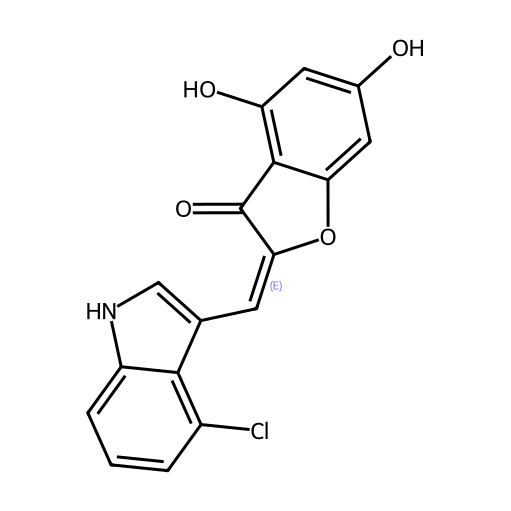 O=C1/C(=C\c2c[nH]c3cccc(Cl)c23)Oc2cc(O)cc(O)c21